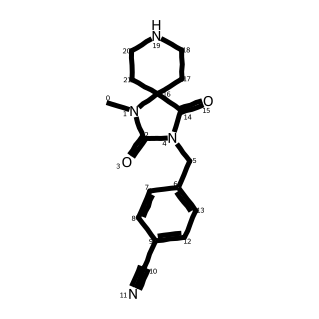 CN1C(=O)N(Cc2ccc(C#N)cc2)C(=O)C12CCNCC2